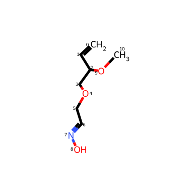 C=CC(COC/C=N/O)OC